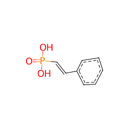 O=P(O)(O)C=Cc1ccccc1